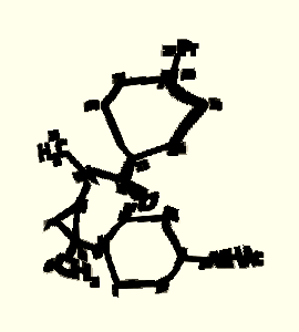 CC(=O)NC1CCN(C2(C)CC2N(C)C(=O)C2CCN(C(C)C)CC2)CC1